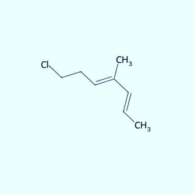 CC=CC(C)=CCCCl